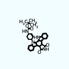 CC(C)(C)OC(=O)N[C@H]1C=CC(n2c3ccccc3c3c4c(c5c6ccccc6[nH]c5c32)C(=O)NC4=O)CC1